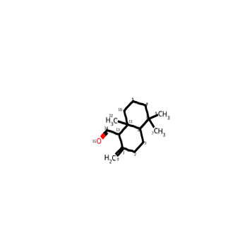 C=C1CCC2C(C)(C)CCCC2(C)C1C=O